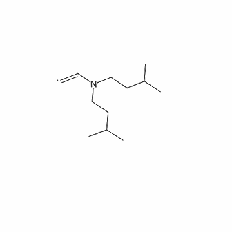 [CH]=CN(CCC(C)C)CCC(C)C